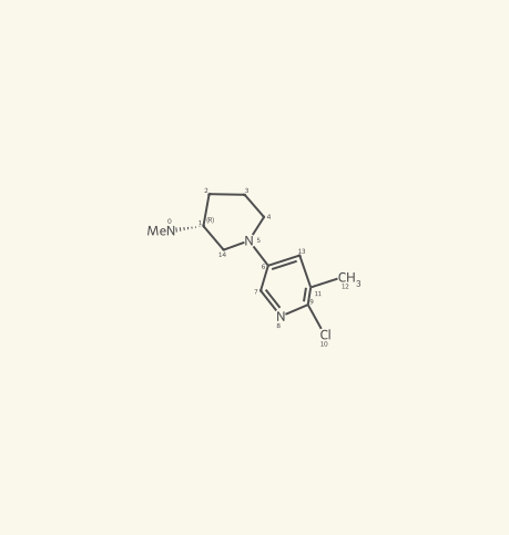 CN[C@@H]1CCCN(c2cnc(Cl)c(C)c2)C1